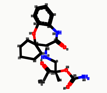 CC(C)(C)C(=O)[C@](C)(CN[C@H]1C(=O)Nc2ccccc2OC12CCCCC2)OC(N)=O